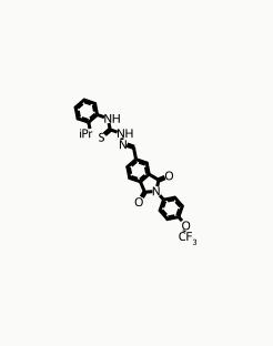 CC(C)c1ccccc1NC(=S)N/N=C/c1ccc2c(c1)C(=O)N(c1ccc(OC(F)(F)F)cc1)C2=O